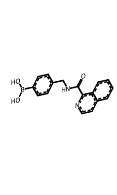 O=C(NCc1ccc(B(O)O)cc1)c1nccc2ccccc12